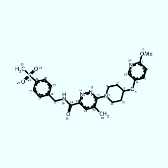 COc1ccc(OC2CCN(c3nnc(C(=O)NCc4ccc(S(C)(=O)=O)cc4)cc3C)CC2)cn1